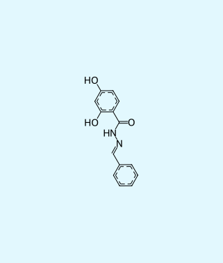 O=C(N/N=C/c1ccccc1)c1ccc(O)cc1O